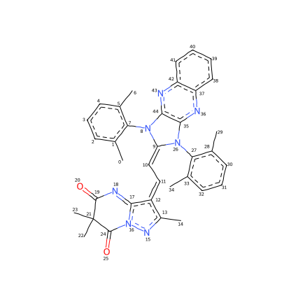 Cc1cccc(C)c1N1C(=C/C=c2/c(C)nn3c2=NC(=O)C(C)(C)C3=O)N(c2c(C)cccc2C)c2nc3ccccc3nc21